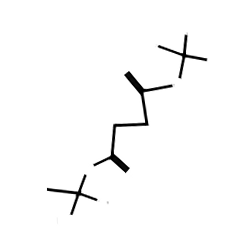 CC(O)(O)OC(=O)CCC(=O)OC(C)(O)O